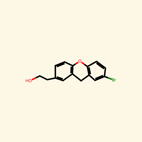 OCCc1ccc2c(c1)Cc1cc(Br)ccc1O2